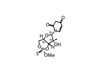 COP1(=S)OC[C@H]2O[C@@H](N3C=CC(=O)CC3=O)[C@](C)(O)[C@@H]2O1